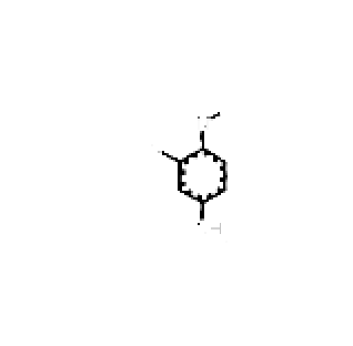 CCNc1ccc(N)cc1S(=O)(=O)O